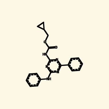 O=C(Nc1nc(Nc2ccccc2)nc(-c2ccccc2)n1)OCC1CC1